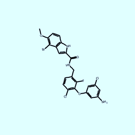 COc1ccc2[nH]c(C(=O)NCc3ccc(Cl)c(Oc4cc(N)cc(Cl)c4)c3F)cc2c1Br